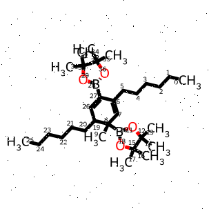 CCCCCCC1=CC(C)(B2OC(C)(C)C(C)(C)O2)C(CCCCCC)C=C1B1OC(C)(C)C(C)(C)O1